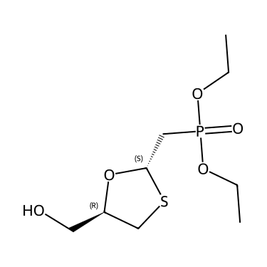 CCOP(=O)(C[C@H]1O[C@H](CO)CS1)OCC